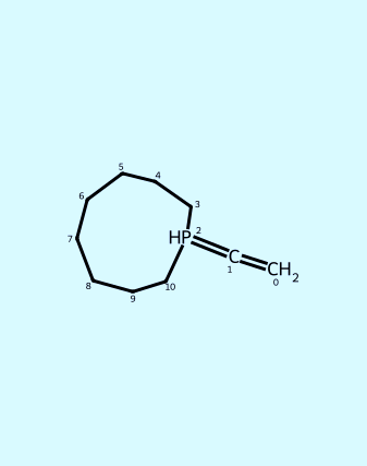 C=C=[PH]1CCCCCCCC1